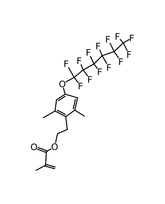 C=C(C)C(=O)OCCc1c(C)cc(OC(F)(F)C(F)(F)C(F)(F)C(F)(F)C(F)(F)C(F)(F)F)cc1C